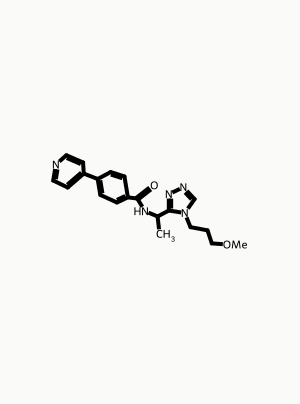 COCCCn1cnnc1C(C)NC(=O)c1ccc(-c2ccncc2)cc1